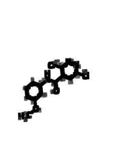 COc1cccc(NC(=O)c2cc(Cl)nnc2Cl)c1